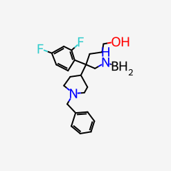 BNCC(CCCO)(c1ccc(F)cc1F)C1CCN(Cc2ccccc2)CC1